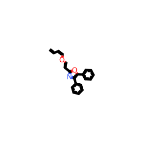 C=C/C=C\O/C=C/c1nc(-c2ccccc2)c(-c2ccccc2)o1